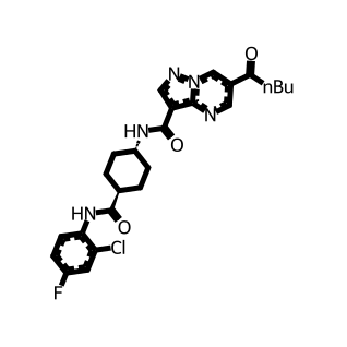 CCCCC(=O)c1cnc2c(C(=O)N[C@H]3CC[C@H](C(=O)Nc4ccc(F)cc4Cl)CC3)cnn2c1